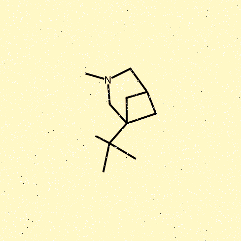 CN1CC2CC(C(C)(C)C)(C2)C1